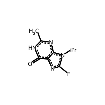 Cc1nc2c(nc(F)n2C(C)C)c(=O)[nH]1